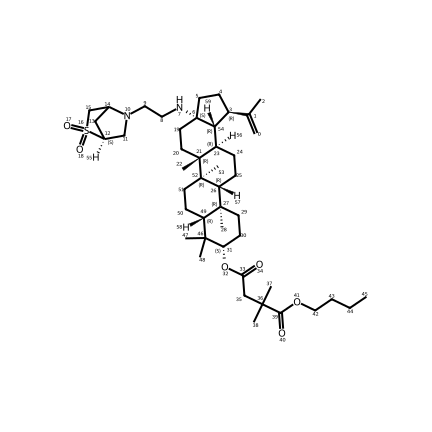 C=C(C)[C@@H]1CC[C@]2(NCCN3C[C@@H]4CC3CS4(=O)=O)CC[C@]3(C)[C@H](CC[C@@H]4[C@@]5(C)CC[C@H](OC(=O)CC(C)(C)C(=O)OCCCC)C(C)(C)[C@@H]5CC[C@]43C)[C@@H]12